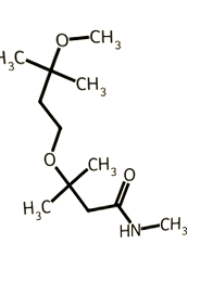 CNC(=O)CC(C)(C)OCCC(C)(C)OC